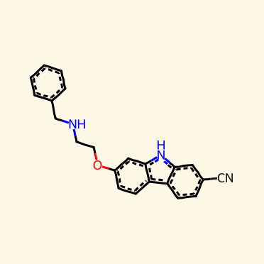 N#Cc1ccc2c(c1)[nH]c1cc(OCCNCc3ccccc3)ccc12